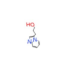 OCCCc1cnc2ccccn12